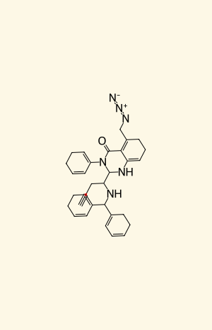 C#CCC(NC(C1=CCCC=C1)C1=CC=CCC1)C1NC2=CCCC(CN=[N+]=[N-])=C2C(=O)N1C1=CCCC=C1